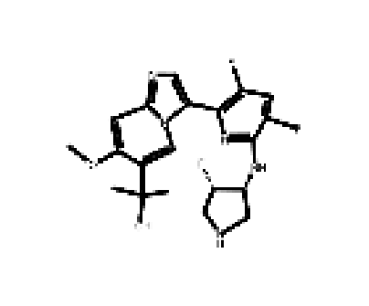 COc1cc2ncc(-c3nc(N[C@H]4CNC[C@@H]4F)c(F)cc3F)n2cc1C(C)(C)O